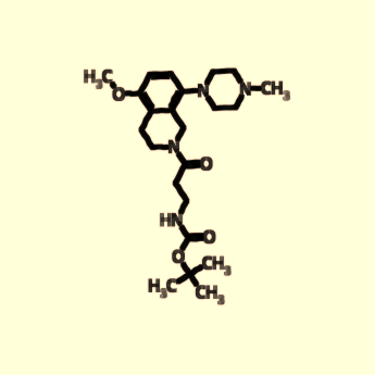 COc1ccc(N2CCN(C)CC2)c2c1CCN(C(=O)CCNC(=O)OC(C)(C)C)C2